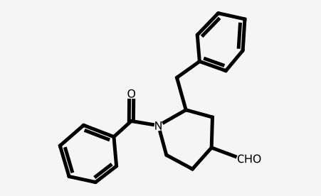 O=CC1CCN(C(=O)c2ccccc2)C(Cc2ccccc2)C1